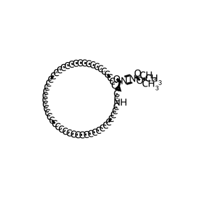 CC(C)(C)OC(=O)N1CCN(C(=O)C2CC23CCCCCCCCCCCCCCCCCCCCCCCCCCCCCCCCCCCCCCCCCCCCCCCCNCC3)CC1